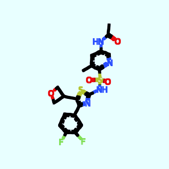 CC(=O)Nc1cnc(S(=O)(=O)Nc2nc(-c3ccc(F)c(F)c3)c(C3COC3)s2)c(C)c1